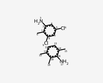 Cc1c(N)cc(Cl)cc1Cl.Cc1ccc(C)c(N)c1C